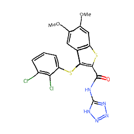 COc1cc2sc(C(=O)Nc3nnn[nH]3)c(Sc3cccc(Cl)c3Cl)c2cc1OC